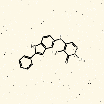 Cc1c(Nc2ccc3[nH]c(-c4ccccc4)cc3c2)cnn(C)c1=O